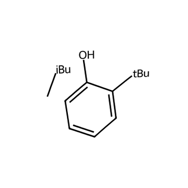 CC(C)(C)c1ccccc1O.CCC(C)C